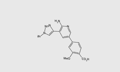 COc1cc(-c2cnc(N)c(-c3cn(C(C)C)nn3)c2)ccc1C(=O)O